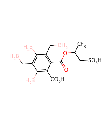 BCc1c(B)c(CB)c(C(=O)OC(CS(=O)(=O)O)C(F)(F)F)c(C(=O)O)c1B